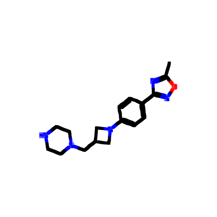 Cc1nc(-c2ccc(N3CC(CN4CCNCC4)C3)cc2)no1